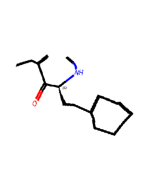 CN[C@@H](CC1CCCCC1)C(=O)C(C)C